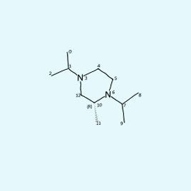 CC(C)N1CCN(C(C)C)[C@H](C)C1